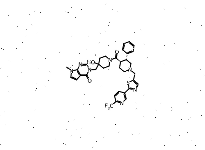 Cn1ccc2c(=O)n(CC3(O)CCN(C(=O)[C@@H]4CCN(Cc5cnc(-c6ccc(C(F)(F)F)nc6)s5)C[C@H]4c4ccccc4)CC3)cnc21